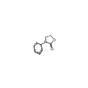 O=C1OCCN1c1[c]cccc1